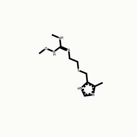 CN/C(=N/CCSCc1[nH]cnc1C)NOC